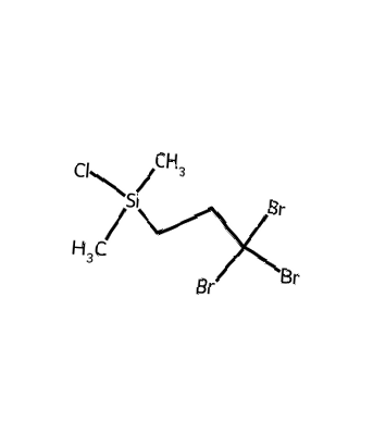 C[Si](C)(Cl)CCC(Br)(Br)Br